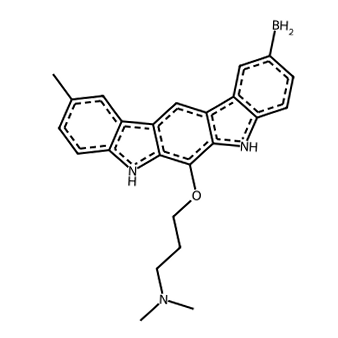 Bc1ccc2[nH]c3c(OCCCN(C)C)c4[nH]c5ccc(C)cc5c4cc3c2c1